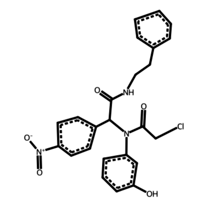 O=C(NCCc1ccccc1)C(c1ccc([N+](=O)[O-])cc1)N(C(=O)CCl)c1cccc(O)c1